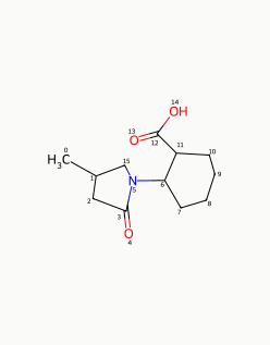 CC1CC(=O)N(C2CCCCC2C(=O)O)C1